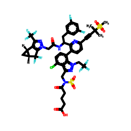 CC(C)(C#Cc1ccc(-c2ccc(Cl)c3c(CN(C(=O)CCCC(=O)O)[SH](=O)=O)nn(CC(F)(F)F)c23)c(C(Cc2cc(F)cc(F)c2)NC(=O)Cn2nc(C(F)(F)F)c3c2C(F)(F)[C@@H]2C[C@H]32)n1)S(C)(=O)=O